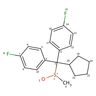 C[S+]([O-])C(c1ccc(F)cc1)(c1ccc(F)cc1)C1CCCC1